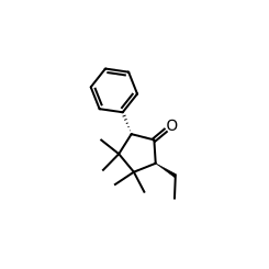 CC[C@@H]1C(=O)[C@@H](c2ccccc2)C(C)(C)C1(C)C